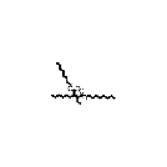 CCCCCCCCOC(=O)/C(CC)=C(/CCCCCC)C(=O)OCCCCCCCC